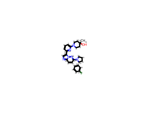 CC1(O)CCN(c2cccc(-c3cnc4ccc(N5CCC[C@@H]5c5cccc(F)c5)nn34)n2)CC1